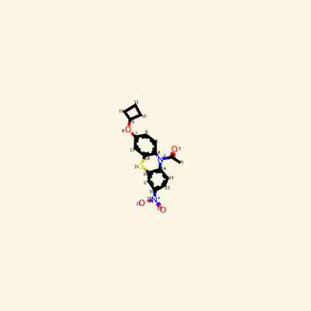 CC(=O)N1c2ccc(OC3CCC3)cc2Sc2cc([N+](=O)[O-])ccc21